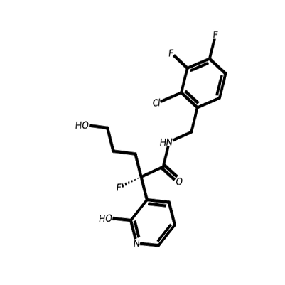 O=C(NCc1ccc(F)c(F)c1Cl)[C@](F)(CCCO)c1cccnc1O